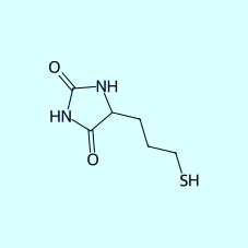 O=C1NC(=O)C(CCCS)N1